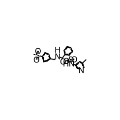 Cc1cncc(NS(=O)(=O)c2ccccc2C(=O)NCc2ccc(S(C)(=O)=O)cc2)c1